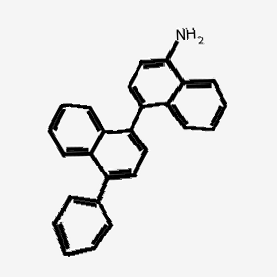 Nc1ccc(-c2ccc(-c3ccccc3)c3ccccc23)c2ccccc12